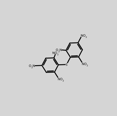 O=[N+]([O-])c1cc([N+](=O)[O-])c(Sc2c([N+](=O)[O-])cc([N+](=O)[O-])cc2[N+](=O)[O-])c([N+](=O)[O-])c1